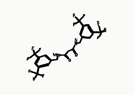 O=C(CC(=O)NCc1cc(C(F)(F)F)cc(C(F)(F)F)c1)NCc1cc(C(F)(F)F)cc(C(F)(F)F)c1